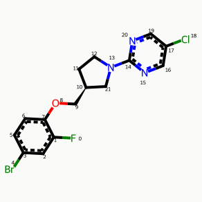 Fc1cc(Br)ccc1OC[C@H]1CCN(c2ncc(Cl)cn2)C1